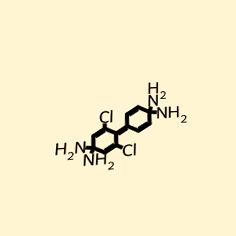 NC1(N)C=CC(=C2C(Cl)=CC(N)(N)C=C2Cl)C=C1